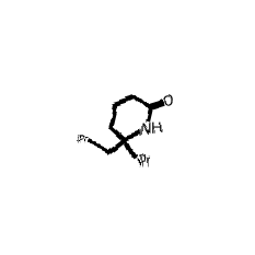 CC(C)CC1(C(C)C)CCCC(=O)N1